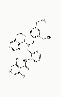 NCc1ccc(CN(Cc2ncccc2NC(=O)c2c(Cl)cncc2Cl)[C@H]2CCCc3cccnc32)c(CO)c1